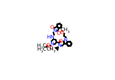 COCCCn1cc(CN(C(=O)C2CC(NCCN3C(=O)c4ccccc4C3=O)CN(C(=O)OC(C)(C)C)C2)C2CC2)c2ccccc21